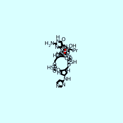 CC(C)[Si](O)(O[Si](O[C@H]1[C@H]2OP(=O)(S)OC[C@H]3C[C@@H](Nc4ccncn4)C[C@@H]3OP(=O)(S)OC[C@H]1O[C@H]2n1cnc2c(=O)[nH]c(N)nc21)(C(C)C)C(C)C)C(C)C